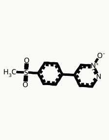 CS(=O)(=O)c1ccc(-c2ccn[n+]([O-])c2)cc1